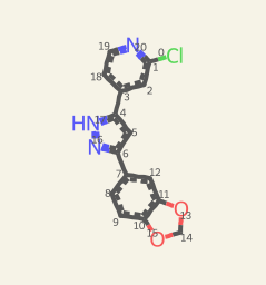 Clc1cc(-c2cc(-c3ccc4c(c3)OCO4)n[nH]2)ccn1